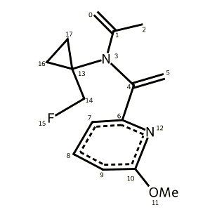 C=C(C)N(C(=C)c1cccc(OC)n1)C1(CF)CC1